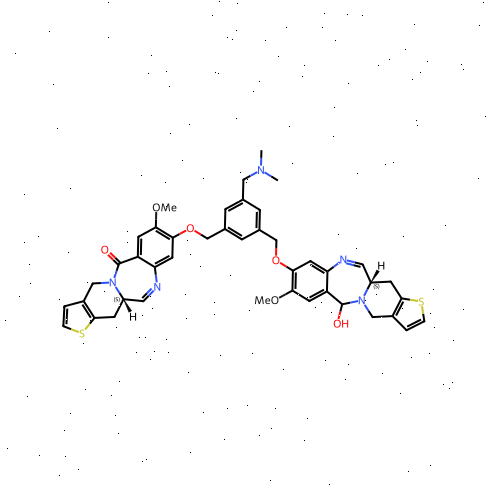 COc1cc2c(cc1OCc1cc(COc3cc4c(cc3OC)C(O)N3Cc5ccsc5C[C@H]3C=N4)cc(CN(C)C)c1)N=C[C@@H]1Cc3sccc3CN1C2=O